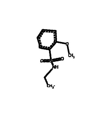 [CH2]CNS(=O)(=O)c1ccccc1OC